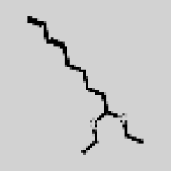 C=CC=CCCCCC(OCC)OCC